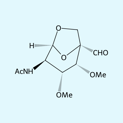 CO[C@@H]1[C@@H](NC(C)=O)[C@H]2OC[C@](C=O)(O2)[C@@H]1OC